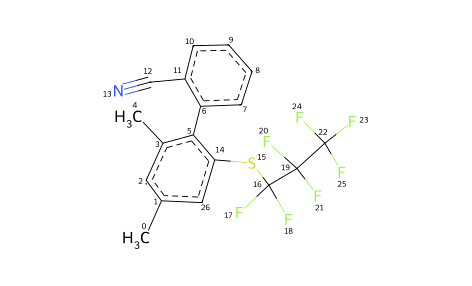 Cc1[c]c(C)c(-c2ccccc2C#N)c(SC(F)(F)C(F)(F)C(F)(F)F)c1